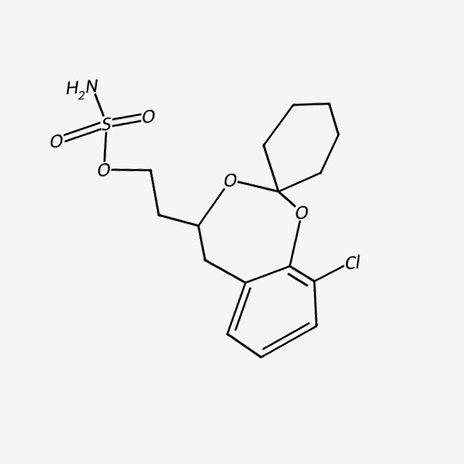 NS(=O)(=O)OCCC1Cc2cccc(Cl)c2OC2(CCCCC2)O1